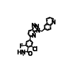 CNC(=O)c1c(F)cc(-c2ccc3nnn(Cc4ccc5ncccc5c4)c3n2)cc1Cl